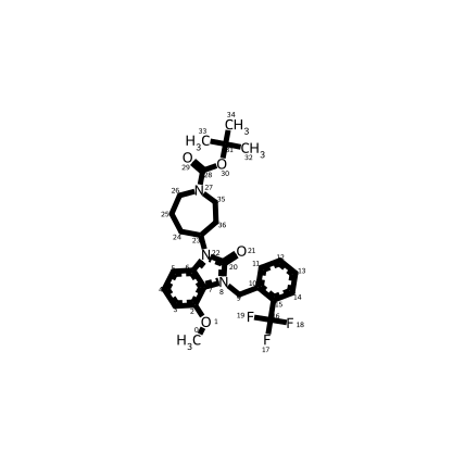 COc1cccc2c1n(Cc1ccccc1C(F)(F)F)c(=O)n2C1CCCN(C(=O)OC(C)(C)C)CC1